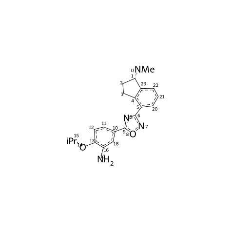 CN[C@H]1CCc2c(-c3noc(-c4ccc(OC(C)C)c(N)c4)n3)cccc21